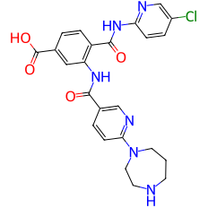 O=C(O)c1ccc(C(=O)Nc2ccc(Cl)cn2)c(NC(=O)c2ccc(N3CCCNCC3)nc2)c1